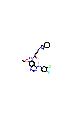 CCOc1cc2ncnc(Nc3ccc(F)c(Cl)c3)c2cc1NC(=O)/C=C/CN1CC2(CCCCC2)C1